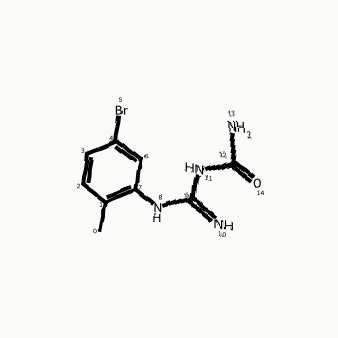 Cc1ccc(Br)cc1NC(=N)NC(N)=O